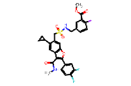 CNC(=O)c1c(-c2ccc(F)c(F)c2)oc2cc(CS(=O)(=O)NCc3ccc(I)c(C(=O)OC)c3)c(C3CC3)cc12